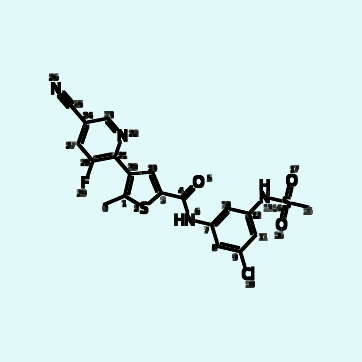 Cc1sc(C(=O)Nc2cc(Cl)cc(NS(C)(=O)=O)c2)cc1-c1ncc(C#N)cc1F